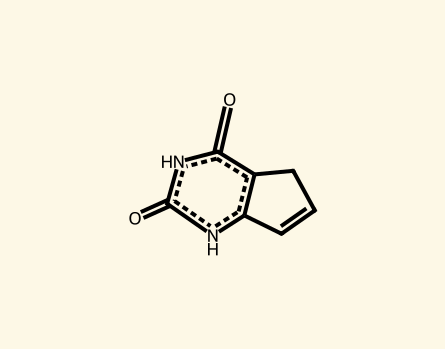 O=c1[nH]c2c(c(=O)[nH]1)CC=C2